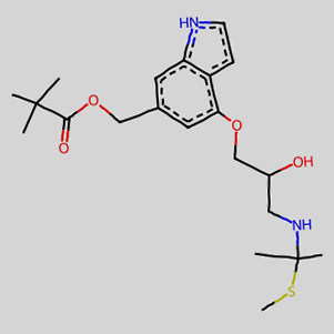 CSC(C)(C)NCC(O)COc1cc(COC(=O)C(C)(C)C)cc2[nH]ccc12